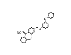 N#C/C=C1\c2ccccc2CCc2cc(COc3cccc(Oc4ccccc4)c3)ccc21